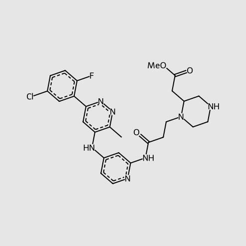 COC(=O)CC1CNCCN1CCC(=O)Nc1cc(Nc2cc(-c3cc(Cl)ccc3F)nnc2C)ccn1